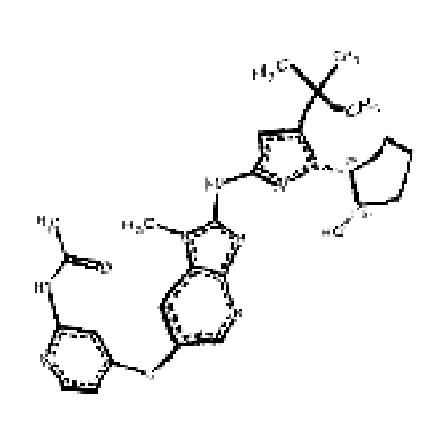 CC(=O)Nc1cc(Oc2cnc3nc(Nc4cc(C(C)(C)C)n([C@@H]5CCC[C@@H]5O)n4)n(C)c3c2)ccn1